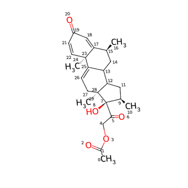 CC(=O)OCC(=O)[C@@]1(O)[C@H](C)CC2C3C[C@H](C)C4=CC(=O)C=C[C@]4(C)C3=CC[C@@]21C